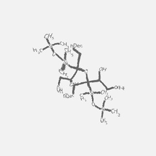 CCCCCCCCCCCC(OC(CCCCCCCCCCC)(C(O)CO)[Si](C)(C)O[Si](C)(C)C)(C(O)CO)[Si](C)(C)O[Si](C)(C)C